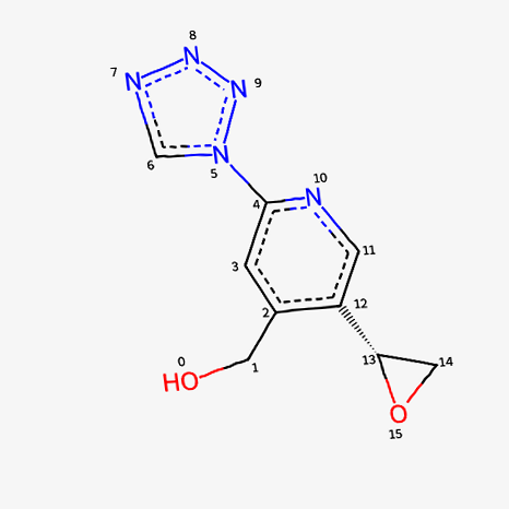 OCc1cc(-n2cnnn2)ncc1[C@@H]1CO1